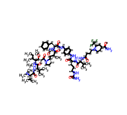 CC[C@H](C)[C@@H]([C@@H](CC(=O)N1CCC[C@H]1[C@H](OC)[C@@H](C)C(=O)N[C@@H](Cc1ccccc1)C(=O)NCc1ccc(NC(=O)[C@H](CCCNC(N)=O)NC(=O)[C@@H](NC(=O)CCCN2CC[C@@H](C(N)=O)C[C@H]2C(F)(F)F)C(C)C)cc1)OC)N(C)C(=O)[C@@H](NC(=O)[C@H](C(C)C)N(C)C)C(C)C